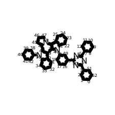 c1ccc(-c2nc(-c3ccccc3)nc(-c3cccc(-n4c5ccccc5c5c4c4c6ccccc6n(-c6ccccc6)c4c4cccn45)c3)n2)cc1